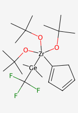 CC(C)(C)[O][Zr]([O]C(C)(C)C)([O]C(C)(C)C)([C]1=CC=CC1)[Ge]([CH3])([CH3])[C](F)(F)F